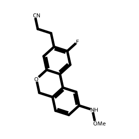 CONc1ccc2c(c1)-c1cc(F)c(CCC#N)cc1OC2